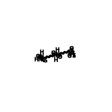 CSC1CC(=O)N(CCCCCC(=O)NNC(=O)CCCCC2SCC3NC(=O)NC32)C1=O